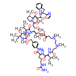 CC[C@H](C)[C@@H](C(CC(=O)N1CCC[C@H]1[C@H](OC)[C@@H](C)C(=O)N[C@@H](Cc1ccccc1)c1nccs1)OC)N(C)C(=O)[C@@H](NC(=O)[C@H](C(C)C)N(C)C(=O)OCc1ccc(NC(=O)[C@H](CCCNC(N)=O)NC(=O)[C@@H](NC(=O)CCN(C)CCN(C)CCC(=O)O)C(C)C)cc1)C(C)C